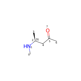 CN[C@@H](C)CC(C)=O